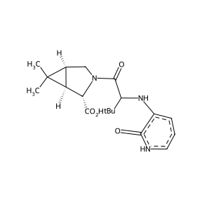 CC(C)(C)C(Nc1ccc[nH]c1=O)C(=O)N1C[C@H]2[C@@H]([C@H]1C(=O)O)C2(C)C